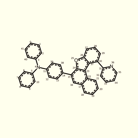 c1ccc(N(c2ccccc2)c2ccc(-c3cc4ccccc4c4c3oc3cccc(-c5ccccn5)c34)cc2)cc1